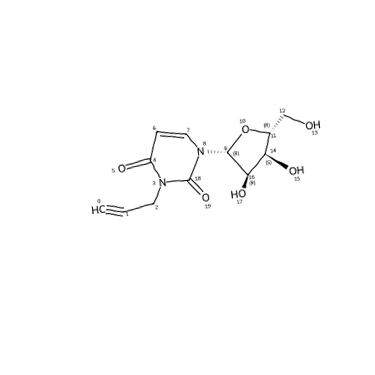 C#CCn1c(=O)ccn([C@@H]2O[C@H](CO)[C@@H](O)[C@H]2O)c1=O